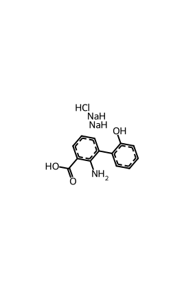 Cl.Nc1c(C(=O)O)cccc1-c1ccccc1O.[NaH].[NaH]